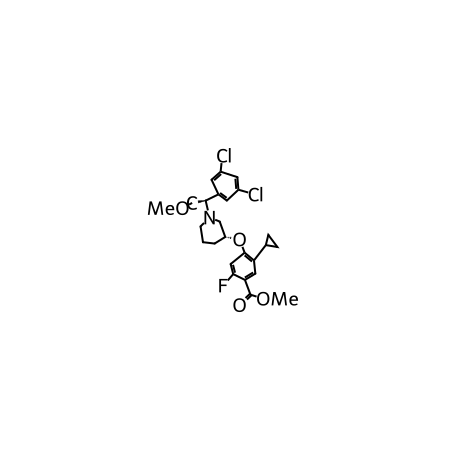 COC[C@@H](c1cc(Cl)cc(Cl)c1)N1CCC[C@@H](Oc2cc(F)c(C(=O)OC)cc2C2CC2)C1